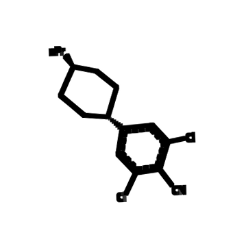 CCC[C@H]1CC[C@H](c2cc(Cl)c(C#N)c(Cl)c2)CC1